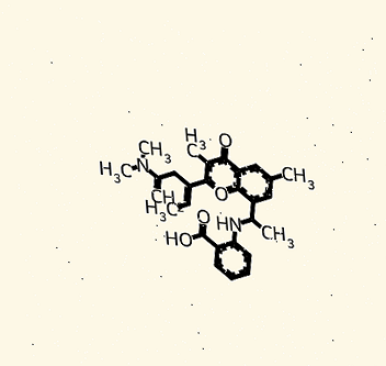 C=C(C/C(=C\C)c1oc2c(C(C)Nc3ccccc3C(=O)O)cc(C)cc2c(=O)c1C)N(C)C